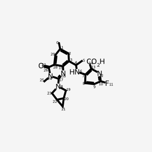 Cc1cc(C(C)Nc2ccc(F)nc2C(=O)O)c2nc(N3CC4CC4C3)n(C)c(=O)c2c1